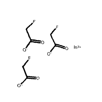 O=C([O-])CF.O=C([O-])CF.O=C([O-])CF.[In+3]